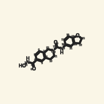 O=C(NO)c1ccc2c(c1)CCN(C(=O)Nc1ccc3c(c1)CCO3)C2